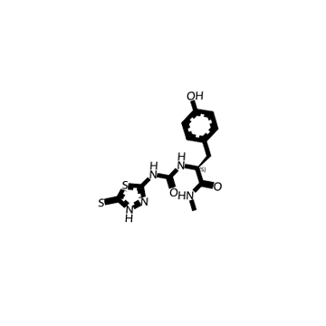 CNC(=O)[C@H](Cc1ccc(O)cc1)NC(=O)Nc1n[nH]c(=S)s1